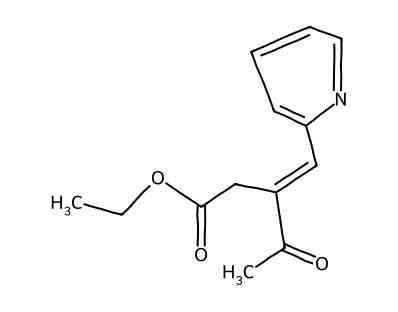 CCOC(=O)C/C(=C\c1ccccn1)C(C)=O